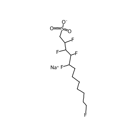 O=S(=O)([O-])CC(F)C(F)C(F)C(F)CCCCCCCF.[Na+]